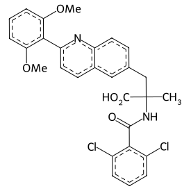 COc1cccc(OC)c1-c1ccc2cc(CC(C)(NC(=O)c3c(Cl)cccc3Cl)C(=O)O)ccc2n1